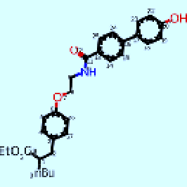 CCCCC(Cc1ccc(OCCNC(=O)c2ccc(-c3ccc(O)cc3)cc2)cc1)C(=O)OCC